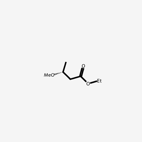 CCOC(=O)C[C@@H](C)OC